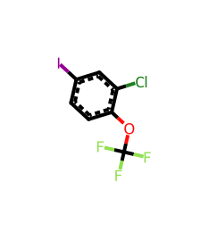 FC(F)(F)Oc1ccc(I)cc1Cl